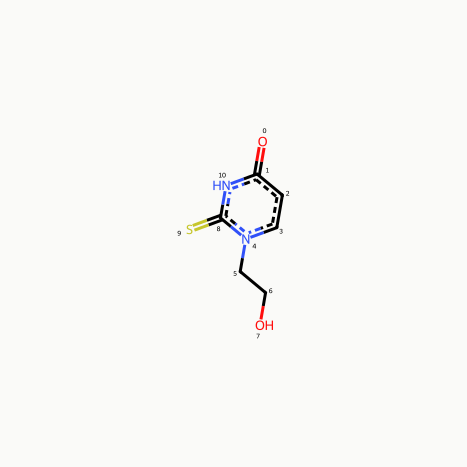 O=c1ccn(CCO)c(=S)[nH]1